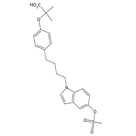 CC(C)(Oc1ccc(CCCCn2ccc3cc(OS(C)(=O)=O)ccc32)cc1)C(=O)O